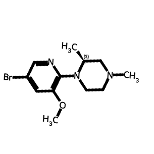 COc1cc(Br)cnc1N1CCN(C)C[C@@H]1C